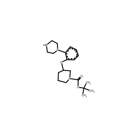 CC(C)(C)OC(=O)N1CCCC(Oc2ccccc2N2CCNCC2)C1